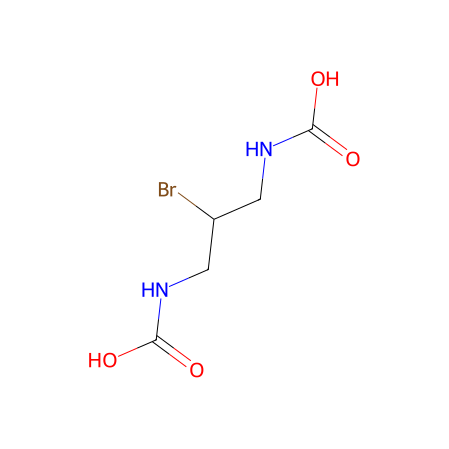 O=C(O)NCC(Br)CNC(=O)O